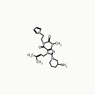 CC(C)=CCn1c(N2CCCC(N)C2)nc2c1c(=O)n(CCn1cccc1)c(=O)n2C